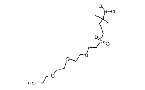 CC(C)(CCS(=O)(=O)CCOCCOCCOCCO)N(Cl)Cl